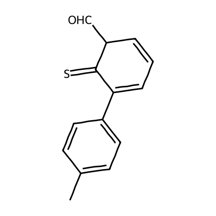 Cc1ccc(C2=CC=CC(C=O)C2=S)cc1